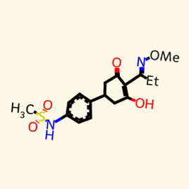 CCC(=NOC)C1=C(O)CC(c2ccc(NS(C)(=O)=O)cc2)CC1=O